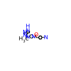 CN(c1ncnc2[nH]ccc12)C1CCN(C(=O)Cc2ccc(C#N)cc2)CC1